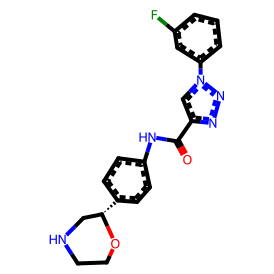 O=C(Nc1ccc([C@H]2CNCCO2)cc1)c1cn(-c2cccc(F)c2)nn1